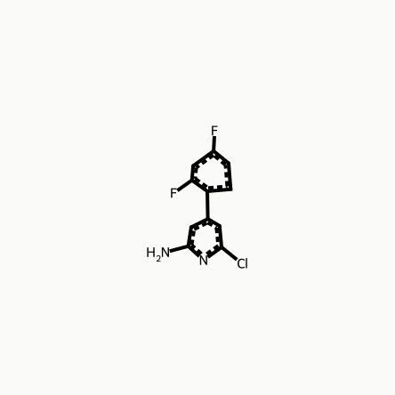 Nc1cc(-c2ccc(F)cc2F)cc(Cl)n1